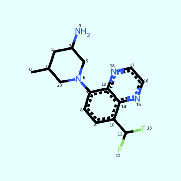 CC1CC(N)CN(c2ccc(C(F)F)c3nccnc23)C1